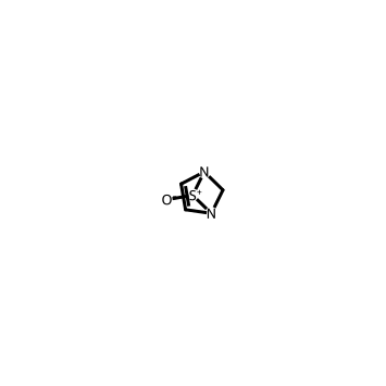 [O-][S+]1N2C=CN1C2